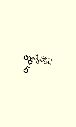 CC(C[CH]C(=O)NCCN(Cc1ccccc1)c1ccc(OCc2ccccc2)cc1)C(N)=O